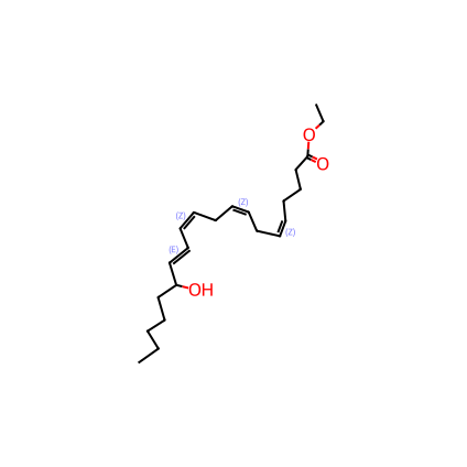 CCCCCC(O)/C=C/C=C\C/C=C\C/C=C\CCCC(=O)OCC